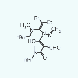 C=NN(/C(O)=C(\C=O)C(=O)NCCC)/C(=C(/Br)CC)N(C)CC(C)(C)C